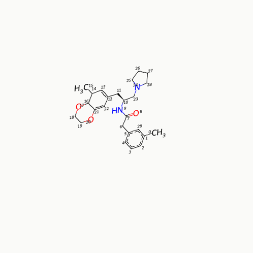 Cc1cccc(CC(=O)N[C@@H](CC2=CC(C)C3OCCOC3=C2)CN2CCCC2)c1